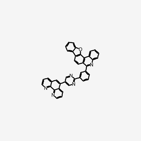 c1cc(-c2ncc(-c3cc4cccnc4c4ncccc34)cn2)cc(-c2nc3ccccc3c3c2ccc2c4ccccc4oc23)c1